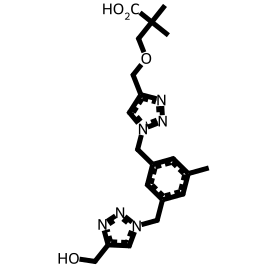 Cc1cc(Cn2cc(CO)nn2)cc(Cn2cc(COCC(C)(C)C(=O)O)nn2)c1